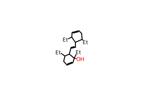 CCC1C=CCC(CC)C1C=CC1C(CC)CC=CC1(O)CC